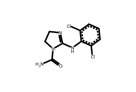 NC(=O)N1CCN=C1Nc1c(Cl)cccc1Cl